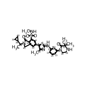 CNS(=O)(=O)c1cc(-c2sc(Nc3cccc(N4CCNC(C)(C)C4=O)n3)nc2C)cc2c1C(=O)N([C@@H](C)C1CC1)C2